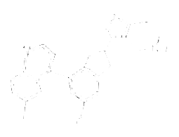 Cc1ccc2nccc(-c3cc(Cl)cc4c3OC(c3onc5c3CNCC5)C4)c2c1